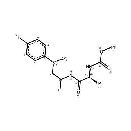 CC(C[S+]([O-])c1ccc(F)cc1)NC(=O)[C@@H](NC(=O)OC(C)C)C(C)C